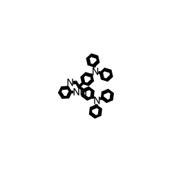 C1=Nc2ccccc2NC1(c1ccc(N(c2ccccc2)c2ccccc2)cc1)c1ccc(N(c2ccccc2)c2ccccc2)cc1